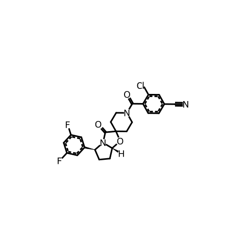 N#Cc1ccc(C(=O)N2CCC3(CC2)O[C@@H]2CC[C@@H](c4cc(F)cc(F)c4)N2C3=O)c(Cl)c1